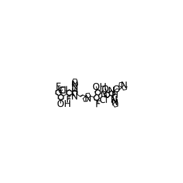 O=c1c2nc(OCC34CCCN3CCC4)cc(N3CC4CCC(C3)N4)c2ccn1-c1cc(O)cc2c(C3CCC4(/C=C/c5cc(N6CC7CCC(C6)N7)c6cc(Cl)c(-c7cc(O)cc8ccc(F)c(Cl)c78)c(F)c6n5)CCCN34)cc(F)c(Cl)c12